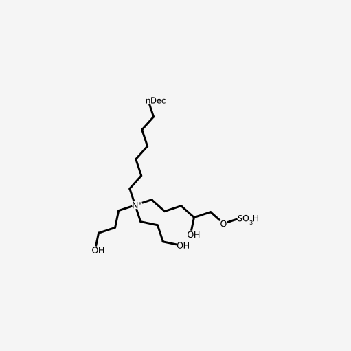 CCCCCCCCCCCCCCCC[N+](CCCO)(CCCO)CCCC(O)COS(=O)(=O)O